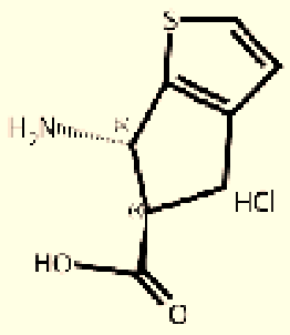 Cl.N[C@@H]1c2sccc2C[C@H]1C(=O)O